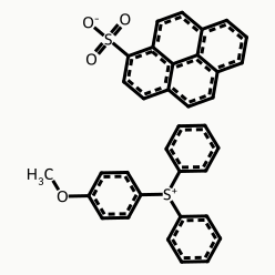 COc1ccc([S+](c2ccccc2)c2ccccc2)cc1.O=S(=O)([O-])c1ccc2ccc3cccc4ccc1c2c34